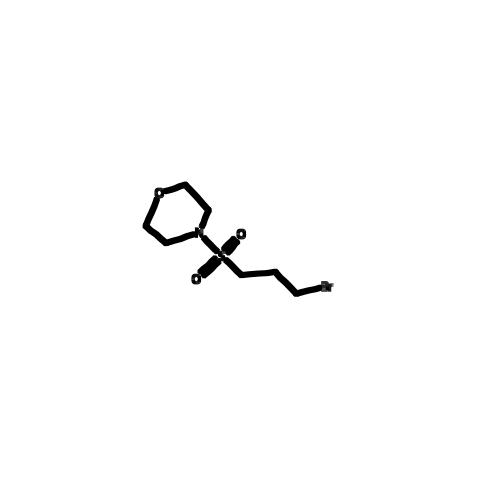 O=S(=O)(CCCBr)N1CCOCC1